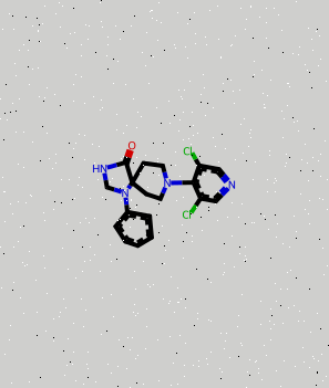 O=C1NCN(c2ccccc2)C12CCN(c1c(Cl)cncc1Cl)CC2